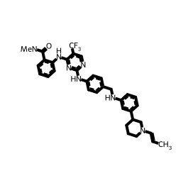 CC=CN1CCCC(c2cccc(NCc3ccc(Nc4ncc(C(F)(F)F)c(Nc5ccccc5C(=O)NC)n4)cc3)c2)C1